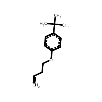 C=CCCOc1ccc(C(C)(C)C)cc1